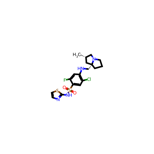 C[C@@H]1CN2CCC[C@@]2(CNc2cc(F)c(S(=O)(=O)Nc3nccs3)cc2Cl)C1